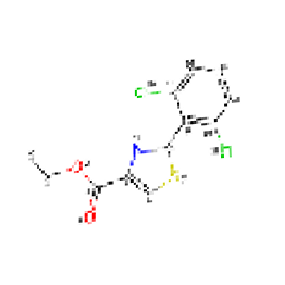 CCOC(=O)c1csc(-c2c(Cl)cccc2Cl)n1